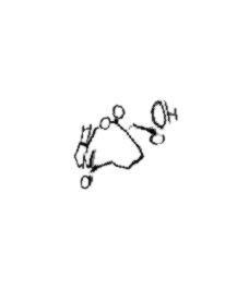 O=C(O)C[C@@H]1C/C=C/CCC(=O)N2CCC[C@H]2COC1=O